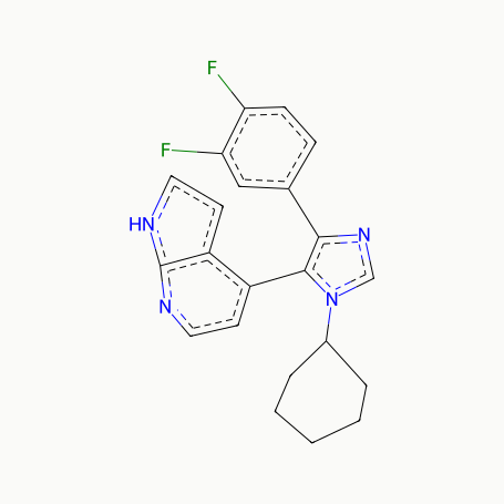 Fc1ccc(-c2ncn(C3CCCCC3)c2-c2ccnc3[nH]ccc23)cc1F